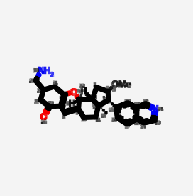 CO[C@@H]1C[C@H]2[C@@H]3OC4=C(C=C3CC[C@]2(C)[C@H]1c1ccc2ccncc2c1)C(=O)CC(CN)C4